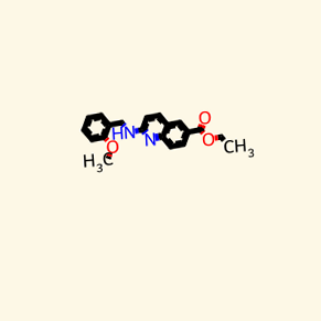 CCOC(=O)c1ccc2nc(NCc3ccccc3OC)ccc2c1